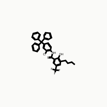 CCCCc1cc(C(F)(F)F)cc(C(=S)Nc2ccc(C(c3ccccc3)(c3ccccc3)c3ccccc3)cc2Cl)c1O